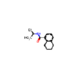 CCC(NC(=O)c1cccc2c1CCCC2)C(=O)O